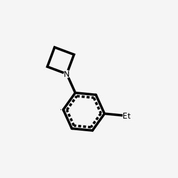 CCc1cc[c]c(N2CCC2)c1